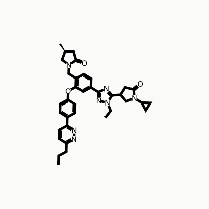 CCCc1ccc(-c2ccc(Oc3cc(-c4nc(C5CC(=O)N(C6CC6)C5)n(CC)n4)ccc3CN3C[C@@H](C)CC3=O)cc2)nn1